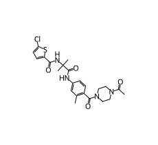 CC(=O)N1CCN(C(=O)c2ccc(NC(=O)C(C)(C)NC(=O)c3ccc(Cl)s3)cc2C)CC1